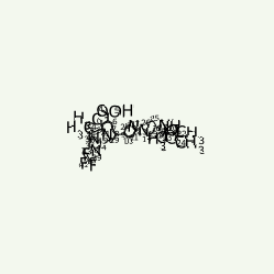 Cc1c(C(=O)O)cc2c(-c3ccc(N4CCC(NC(=O)OC(C)(C)C)CC4)nc3)ccn2c1C(C)N1CCN(CC(F)(F)F)CC1